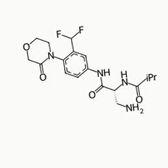 CC(C)C(=O)N[C@H](CN)C(=O)Nc1ccc(N2CCOCC2=O)c(C(F)F)c1